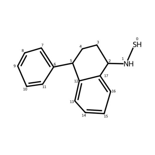 SNC1CCC(c2ccccc2)c2ccccc21